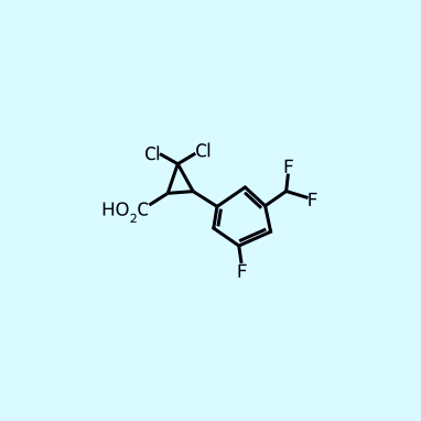 O=C(O)C1C(c2cc(F)cc(C(F)F)c2)C1(Cl)Cl